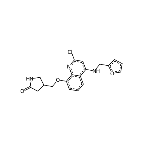 O=C1CC(COc2cccc3c(NCc4ccco4)cc(Cl)nc23)CN1